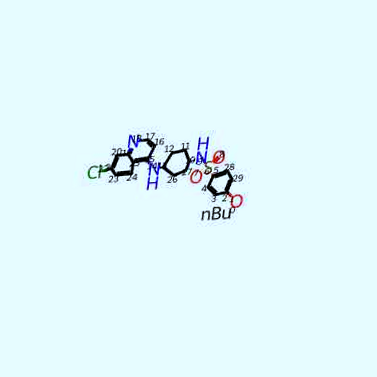 CCCCOc1ccc(S(=O)(=O)N[C@H]2CC[C@@H](Nc3ccnc4cc(Cl)ccc34)CC2)cc1